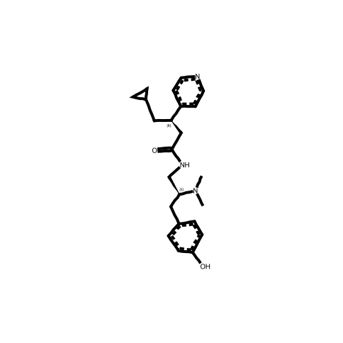 CN(C)[C@H](CNC(=O)C[C@@H](CC1CC1)c1ccncc1)Cc1ccc(O)cc1